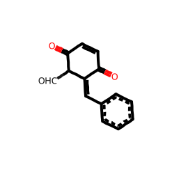 O=CC1C(=O)C=CC(=O)/C1=C\c1ccccc1